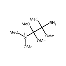 CO[SiH](OC)C(OC)(OC)C([SiH3])(OC)OC